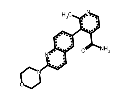 Cc1nccc(C(N)=O)c1-c1ccc2nc(N3CCOCC3)ccc2c1